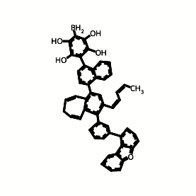 Bc1c(O)c(O)c(-c2ccc(-c3cc(/C=C\C=C/C)c(-c4cccc(-c5cccc6oc7ccccc7c56)c4)c4c3C=CCC=C4)c3ccccc23)c(O)c1O